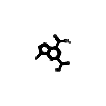 CC(=O)c1cc(C(=O)O)nc2c(F)cnn12